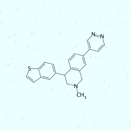 CN1Cc2cc(-c3ccnnc3)ccc2C(c2ccc3sccc3c2)C1